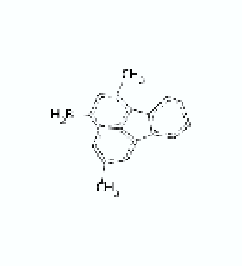 Bc1cc(C)c2c3c(cc(C)cc13)-c1ccccc1-2